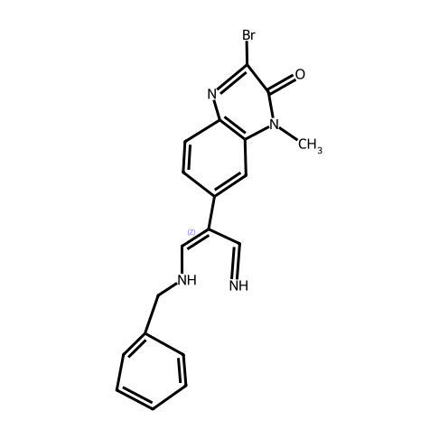 Cn1c(=O)c(Br)nc2ccc(/C(C=N)=C/NCc3ccccc3)cc21